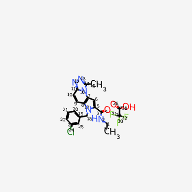 CCNC(=O)c1cc2c(ccc3nnc(C)n32)n1Cc1cccc(Cl)c1.O=C(O)C(F)(F)F